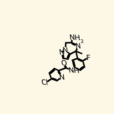 CC1(c2cc(NC(=O)c3ccc(Cl)cn3)ccc2F)N=C(N)Cn2nccc21